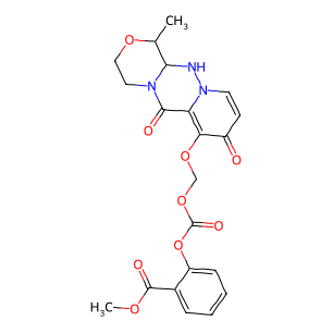 COC(=O)c1ccccc1OC(=O)OCOc1c2n(ccc1=O)NC1C(C)OCCN1C2=O